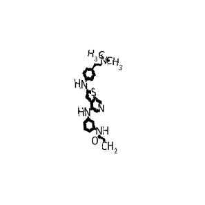 C=CC(=O)Nc1cccc(Nc2cncc3sc(Nc4ccc(CCN(C)C)cc4)cc23)c1